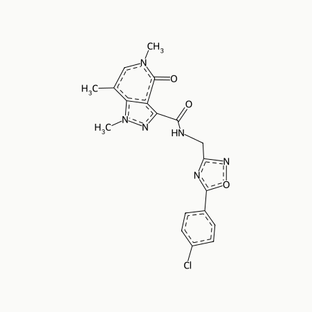 Cc1cn(C)c(=O)c2c(C(=O)NCc3noc(-c4ccc(Cl)cc4)n3)nn(C)c12